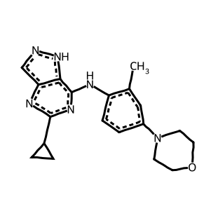 Cc1cc(N2CCOCC2)ccc1Nc1nc(C2CC2)nc2cn[nH]c12